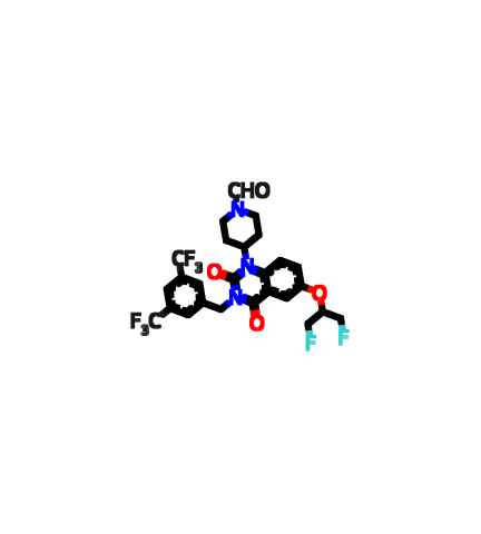 O=CN1CCC(n2c(=O)n(Cc3cc(C(F)(F)F)cc(C(F)(F)F)c3)c(=O)c3cc(OC(CF)CF)ccc32)CC1